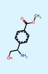 COC(=O)c1ccc([C@@H](N)CO)cc1